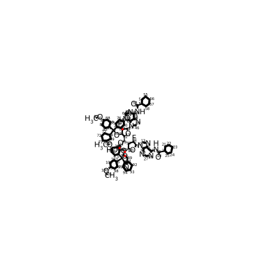 COc1ccc(C(OC[C@@H]2O[C@@H](n3cnc4c(NC(=O)c5ccccc5)ncnc43)[C@H](F)[C@H]2C(OP(O)OCCC#N)[C@@H]2O[C@@H](n3cnc4c(NC(=O)c5ccccc5)ncnc43)[C@H](F)[C@@H]2OC(c2ccccc2)(c2ccc(OC)cc2)c2ccc(OC)cc2)(c2ccccc2)c2ccc(OC)cc2)cc1